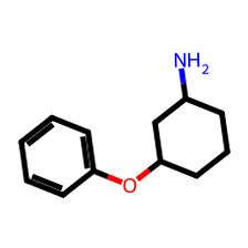 NC1CCCC(Oc2ccccc2)C1